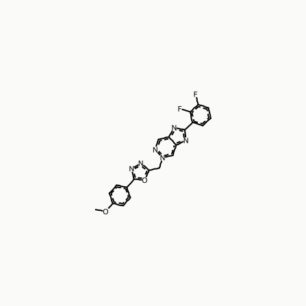 COc1ccc(-c2nnc(Cn3cc4nc(-c5cccc(F)c5F)nc-4cn3)o2)cc1